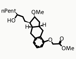 CCCCC[C@H](O)CC[C@@H]1[C@H]2Cc3cccc(OCC(=O)OC)c3C[C@H]2C[C@H]1OC